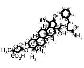 CC(C)C1=C2[C@H]3CC[C@@H]4[C@@]5(C)CC[C@H](OC(=O)CC(C)(C)C(=O)O)C(C)(C)[C@@H]5CC[C@@]4(C)[C@]3(C)CCC2(C(O)CN(CC(N)=O)Cc2ccccc2)CC1=O